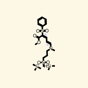 COC(=O)/C(=C\C=C\N(C)CCC[Si](C)(O[SiH](C)C)O[Si](C)(C)C)S(=O)(=O)c1ccccc1